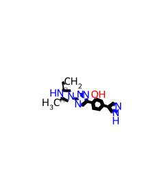 C=C[C@H]1CN(c2ncc(-c3ccc(-c4cn[nH]c4)cc3O)nn2)C[C@@H](C)N1